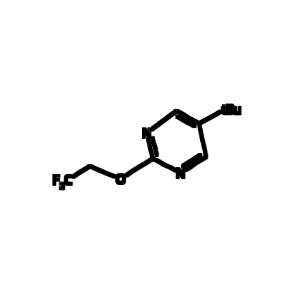 CC(C)(C)c1cnc(OCC(F)(F)F)nc1